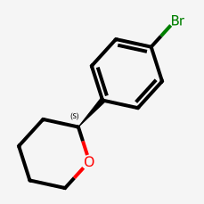 Brc1ccc([C@@H]2CCCCO2)cc1